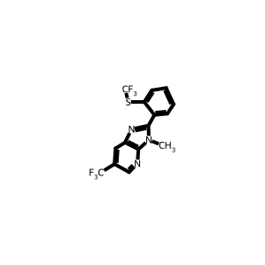 Cn1c(-c2ccccc2SC(F)(F)F)nc2cc(C(F)(F)F)cnc21